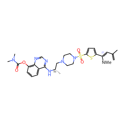 C=C(C)/C=C(\NC)c1ccc(S(=O)(=O)N2CCN(C[C@H](C)Nc3ncnc4c(OC(=O)N(C)C)cccc34)CC2)s1